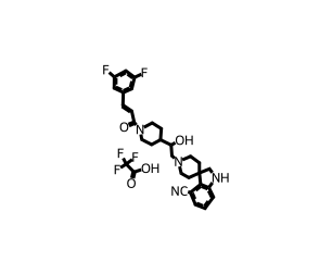 N#Cc1cccc2c1C1(CCN(CC(O)C3CCN(C(=O)C=Cc4cc(F)cc(F)c4)CC3)CC1)CN2.O=C(O)C(F)(F)F